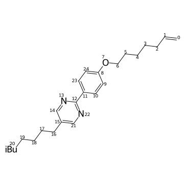 C=CCCCCCOc1ccc(-c2ncc(CCCCC(C)CC)cn2)cc1